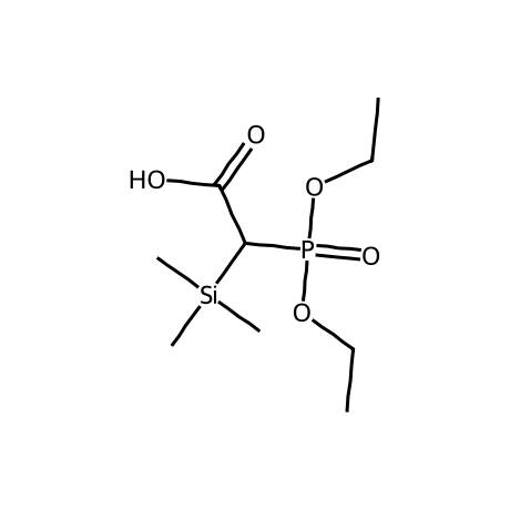 CCOP(=O)(OCC)C(C(=O)O)[Si](C)(C)C